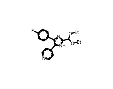 CCOC(OCC)c1nc(-c2ccc(F)cc2)c(-c2ccncc2)[nH]1